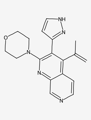 C=C(C)c1c(-c2cc[nH]n2)c(N2CCOCC2)nc2cnccc12